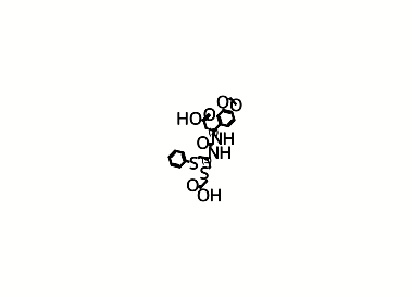 O=C(O)CSC[C@@H](CSc1ccccc1)NC(=O)N[C@@H](CC(=O)O)c1ccc2c(c1)OCO2